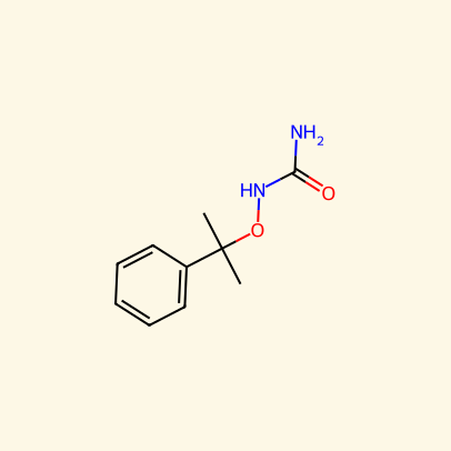 CC(C)(ONC(N)=O)c1ccccc1